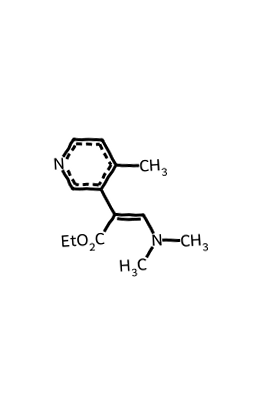 CCOC(=O)C(=CN(C)C)c1cnccc1C